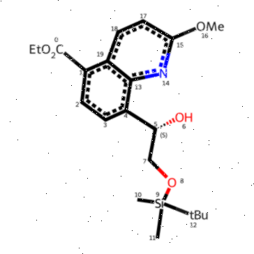 CCOC(=O)c1ccc([C@H](O)CO[Si](C)(C)C(C)(C)C)c2nc(OC)ccc12